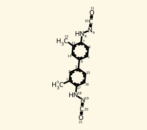 Cc1cc(-c2ccc(NN=C=O)c(C)c2)ccc1NN=C=O